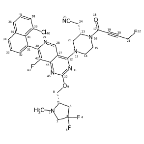 CN1CC(F)(F)C[C@H]1COc1nc(N2CCN(C(=O)C#CCF)[C@@H](CC#N)C2)c2cnc(-c3cccc4cccc(Cl)c34)c(F)c2n1